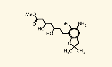 COC(=O)CC(O)CC(O)CCc1c2c(cc(N)c1C(C)C)CC(C)(C)O2